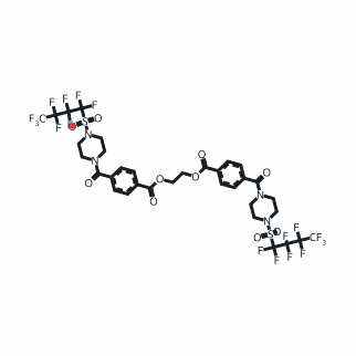 O=C(OCCOC(=O)c1ccc(C(=O)N2CCN(S(=O)(=O)C(F)(F)C(F)(F)C(F)(F)C(F)(F)F)CC2)cc1)c1ccc(C(=O)N2CCN(S(=O)(=O)C(F)(F)C(F)(F)C(F)(F)C(F)(F)F)CC2)cc1